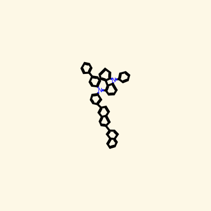 c1ccc(-c2ccc(N(c3cccc(-c4ccc5cc(-c6ccc7ccccc7c6)ccc5c4)c3)c3cccc4c3c3ccccc3n4-c3ccccc3)cc2)cc1